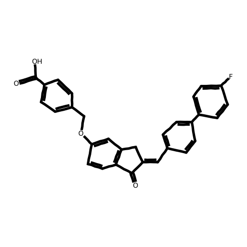 O=C(O)c1ccc(COc2ccc3c(c2)C/C(=C\c2ccc(-c4ccc(F)cc4)cc2)C3=O)cc1